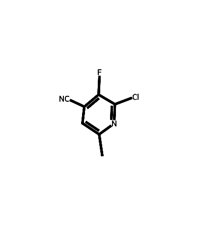 Cc1cc(C#N)c(F)c(Cl)n1